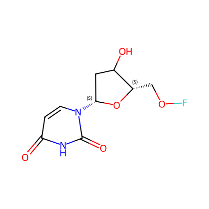 O=c1ccn([C@@H]2CC(O)[C@H](COF)O2)c(=O)[nH]1